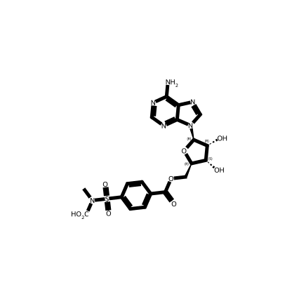 CN(C(=O)O)S(=O)(=O)c1ccc(C(=O)OC[C@H]2O[C@@H](n3cnc4c(N)ncnc43)[C@H](O)[C@@H]2O)cc1